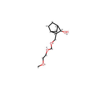 COCCOCOCC1C2CCC(C2)C1O